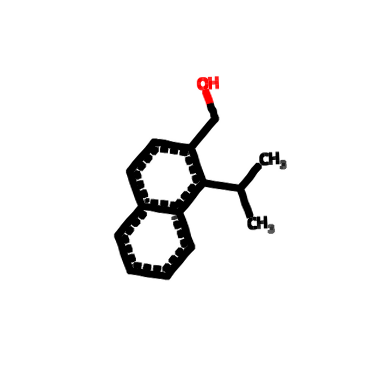 CC(C)c1c(CO)ccc2ccccc12